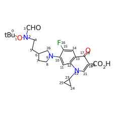 CC(C)(C)ON(C=O)CCC1CCN(c2cc3c(cc2F)c(=O)c(C(=O)O)cn3C2CC2)C1